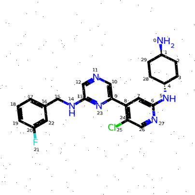 N[C@H]1CC[C@H](Nc2cc(-c3cncc(NCc4cccc(F)c4)n3)c(Cl)cn2)CC1